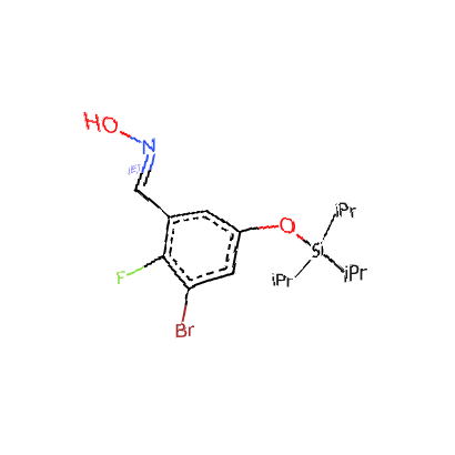 CC(C)[Si](Oc1cc(Br)c(F)c(/C=N/O)c1)(C(C)C)C(C)C